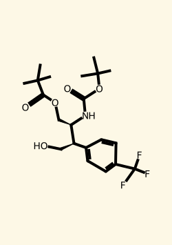 CC(C)(C)OC(=O)N[C@H](COC(=O)C(C)(C)C)[C@H](CO)c1ccc(C(F)(F)F)cc1